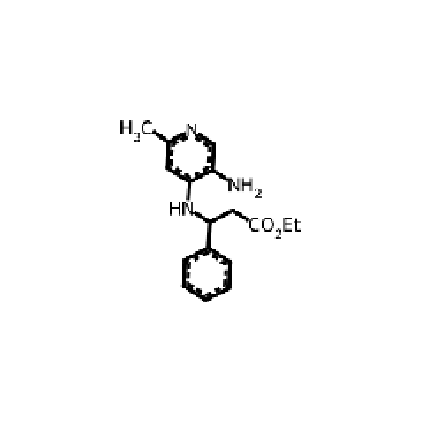 CCOC(=O)CC(Nc1cc(C)ncc1N)c1ccccc1